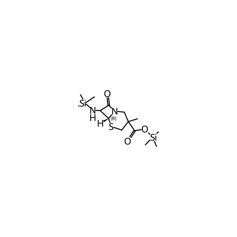 CC1(C(=O)O[Si](C)(C)C)CS[C@@H]2C(N[Si](C)(C)C)C(=O)N2C1